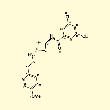 COc1ccc(CCN[C@H]2C[C@H](NC(=O)c3cc(Cl)cc(Cl)c3)C2)cc1